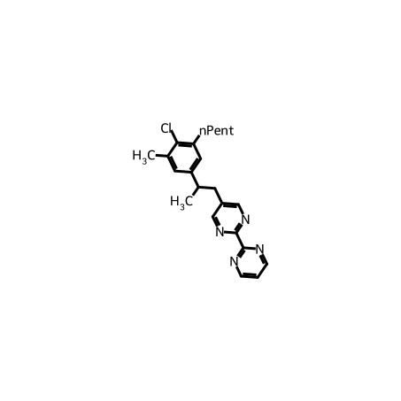 CCCCCc1cc(C(C)Cc2cnc(-c3ncccn3)nc2)cc(C)c1Cl